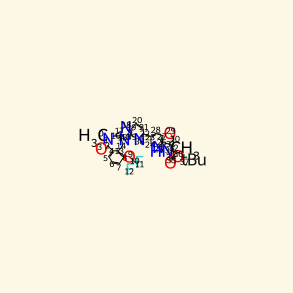 CN1C(=O)c2cccc(OC(F)F)c2C2CC1c1nc3ccc(-c4cnc5c(c4)OCC5(C)NC(=O)OC(C)(C)C)nc3n12